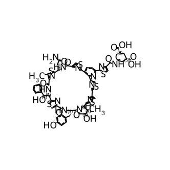 Cc1sc2nc1C(=O)N[C@@H]([C@H](O)c1ccccc1)c1nc(cs1)C(=O)N[C@@H](Cc1ccc(O)cc1)C(=O)N1C[C@H](O)[C@H](C)[C@H]1c1nc(cs1)-c1nc(cs1)-c1nc(-c3nc(C(=O)NC4C[C@@H](C(=O)O)C[C@@H](C(=O)O)C4)cs3)ccc1-c1nc(cs1)C(=O)N[C@H]2CC(N)=O